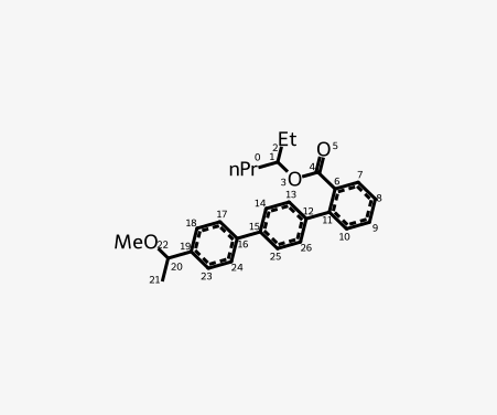 CCCC(CC)OC(=O)c1ccccc1-c1ccc(-c2ccc(C(C)OC)cc2)cc1